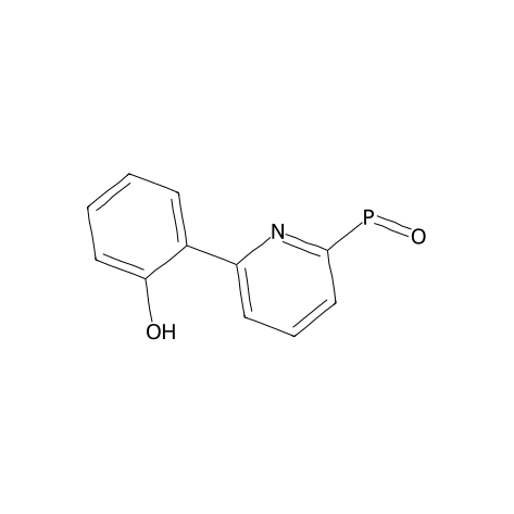 O=Pc1cccc(-c2ccccc2O)n1